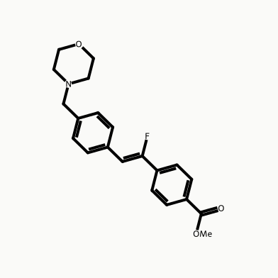 COC(=O)c1ccc(/C(F)=C/c2ccc(CN3CCOCC3)cc2)cc1